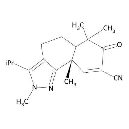 CC(C)c1c2c(nn1C)[C@@]1(C)C=C(C#N)C(=O)C(C)(C)C1CC2